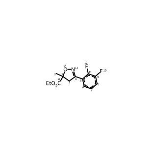 CCOC(=O)C1(C)CC(c2cccc(F)c2F)=NO1